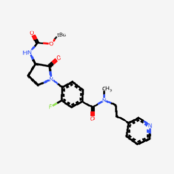 CN(CCc1cccnc1)C(=O)c1ccc(N2CCC(NC(=O)OC(C)(C)C)C2=O)c(F)c1